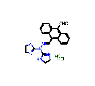 Cl.Cl.O=Cc1c2ccccc2c(C=NN(C2=NCCN2)C2=NCCN2)c2ccccc12